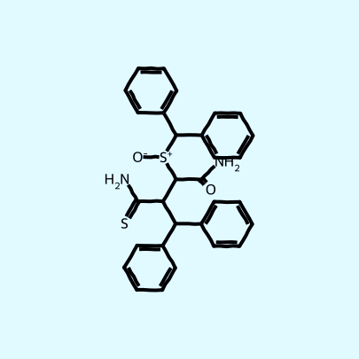 NC(=O)C(C(C(N)=S)C(c1ccccc1)c1ccccc1)[S+]([O-])C(c1ccccc1)c1ccccc1